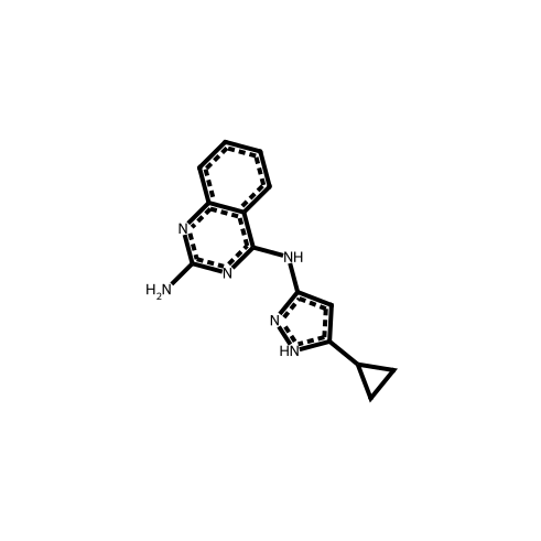 Nc1nc(Nc2cc(C3CC3)[nH]n2)c2ccccc2n1